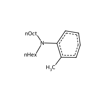 CCCCCCCCN(CCCCCC)c1ccccc1C